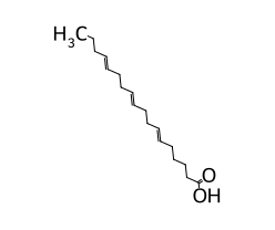 CCC/C=C/CC/C=C/CC/C=C/CCCCC(=O)O